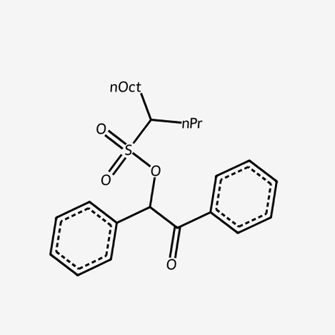 CCCCCCCCC(CCC)S(=O)(=O)OC(C(=O)c1ccccc1)c1ccccc1